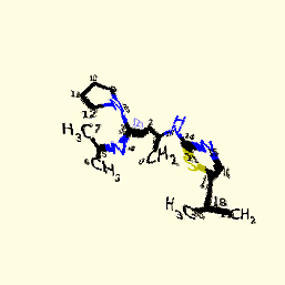 C=C(/C=C(\N=C(C)C)N1CCCC1)Nc1ncc(C(=C)C)s1